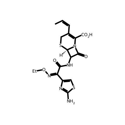 C/C=C\C1=C(C(=O)O)N2C(=O)C(NC(=O)/C(=N\OCC)c3csc(N)n3)[C@H]2SC1